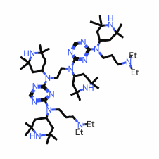 CCN(CC)CCCN(c1ncnc(N(CCN(c2ncnc(N(CCCN(CC)CC)C3CC(C)(C)NC(C)(C)C3)n2)C2CC(C)(C)NC(C)(C)C2)C2CC(C)(C)NC(C)(C)C2)n1)C1CC(C)(C)NC(C)(C)C1